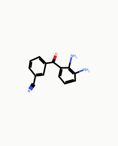 N#Cc1cccc(C(=O)c2cccc(N)c2N)c1